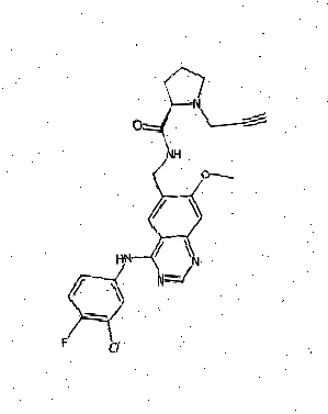 C#CCN1CCC[C@@H]1C(=O)NCc1cc2c(Nc3ccc(F)c(Cl)c3)ncnc2cc1OC